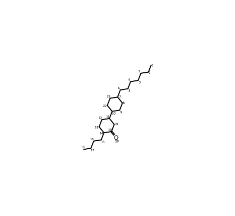 CCCCCCCC1CCC(C2CCC(CCCC)C(=O)C2)CC1